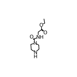 CCOC(=O)CNC(=O)N1CCNCC1